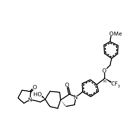 COc1ccc(CO[C@H](c2ccc(N3CC[C@]4(CC[C@@](O)(CN5CCCC5=O)CC4)C3=O)cc2)C(F)(F)F)cc1